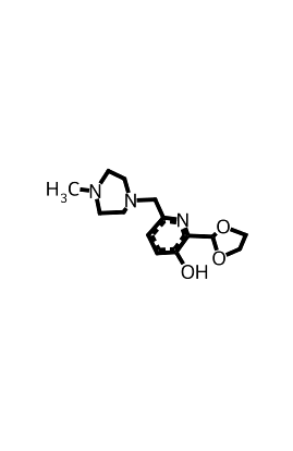 CN1CCN(Cc2ccc(O)c(C3OCCO3)n2)CC1